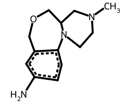 CN1CCN2c3ccc(N)cc3COCC2C1